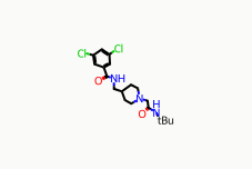 CC(C)(C)NC(=O)CN1CCC(CNC(=O)c2cc(Cl)cc(Cl)c2)CC1